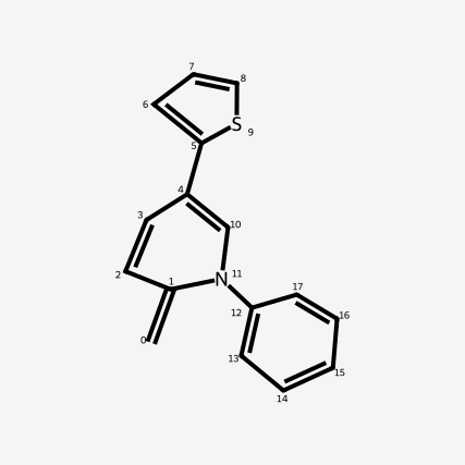 C=C1C=CC(c2cccs2)=CN1c1ccccc1